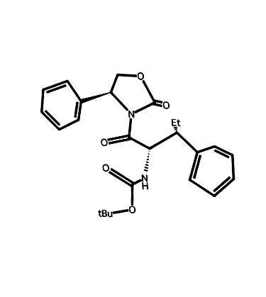 CC[C@H](c1ccccc1)[C@H](NC(=O)OC(C)(C)C)C(=O)N1C(=O)OC[C@@H]1c1ccccc1